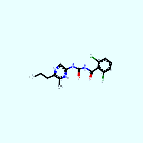 CCCc1ncc(NC(=O)NC(=O)c2c(Cl)cccc2Cl)nc1C